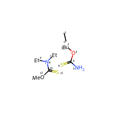 CC.CCC(C)OC(N)=S.CCN(CC)C(=S)OC